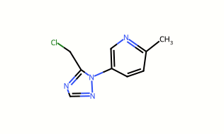 Cc1ccc(-n2ncnc2CCl)cn1